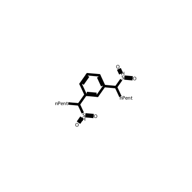 CCCCCC(c1c[c]cc(C(CCCCC)[SH](=O)=O)c1)[SH](=O)=O